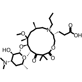 CCCN1C[C@H](C)C[C@@](C)(OC)[C@H](O[C@@H]2O[C@H](C)C[C@H](N(C)C)[C@H]2O)[C@@H](C)C(=O)C(C)(C)C(=O)OC[C@H]1CCC(=O)O